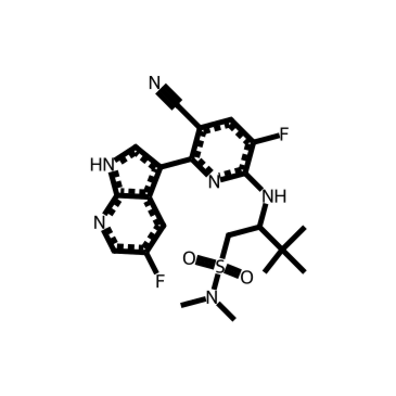 CN(C)S(=O)(=O)CC(Nc1nc(-c2c[nH]c3ncc(F)cc23)c(C#N)cc1F)C(C)(C)C